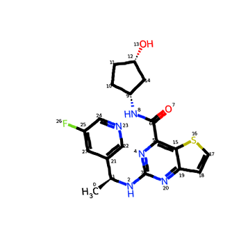 C[C@H](Nc1nc(C(=O)N[C@@H]2CC[C@H](O)C2)c2sccc2n1)c1cncc(F)c1